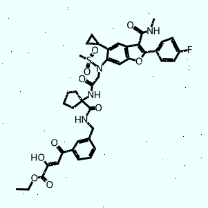 CCOC(=O)C(O)=CC(=O)c1cccc(CNC(=O)C2(NC(=O)CN(c3cc4oc(-c5ccc(F)cc5)c(C(=O)NC)c4cc3C3CC3)S(C)(=O)=O)CCCC2)c1